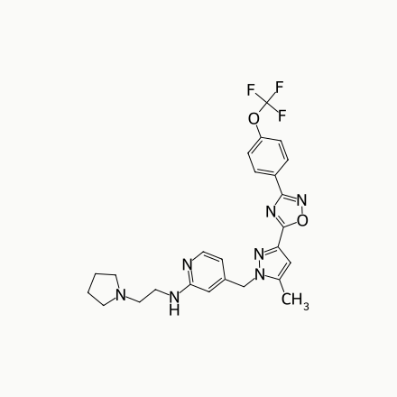 Cc1cc(-c2nc(-c3ccc(OC(F)(F)F)cc3)no2)nn1Cc1ccnc(NCCN2CCCC2)c1